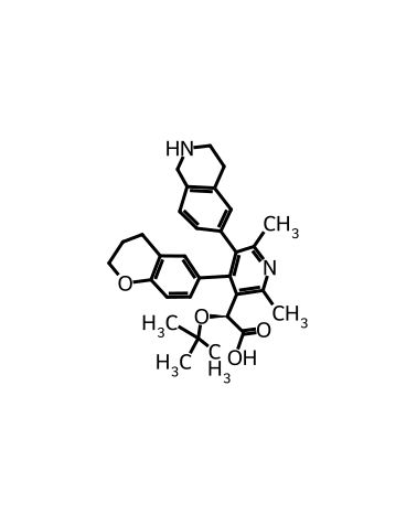 Cc1nc(C)c([C@H](OC(C)(C)C)C(=O)O)c(-c2ccc3c(c2)CCCO3)c1-c1ccc2c(c1)CCNC2